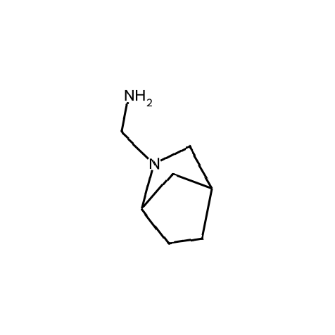 NCN1CC2CCC1C2